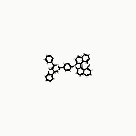 c1ccc(-c2nc(-c3ccc(-n4c5ccc6cccc7oc8cccc9ccc4c(c98)c5c67)cc3)nc3c2sc2ccccc23)cc1